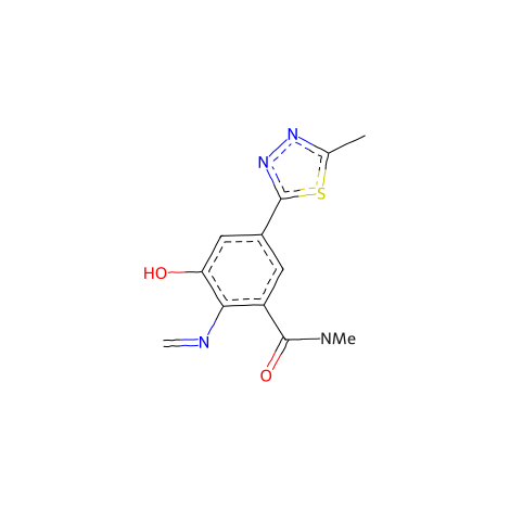 C=Nc1c(O)cc(-c2nnc(C)s2)cc1C(=O)NC